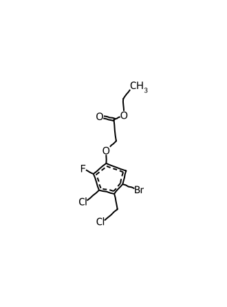 CCOC(=O)COc1cc(Br)c(CCl)c(Cl)c1F